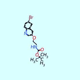 CC(C)(C)OC(=O)NCCOc1cnc2ccc(Br)cc2c1